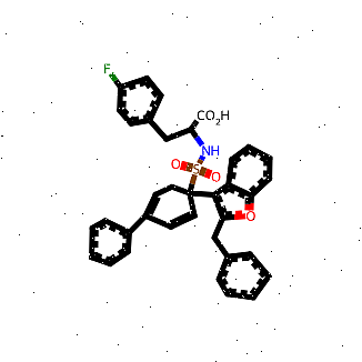 O=C(O)C(Cc1ccc(F)cc1)NS(=O)(=O)C1(c2c(Cc3ccccc3)oc3ccccc23)C=CC(c2ccccc2)=CC1